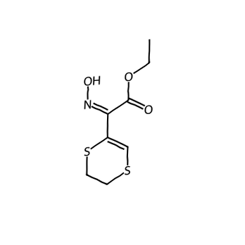 CCOC(=O)C(=NO)C1=CSCCS1